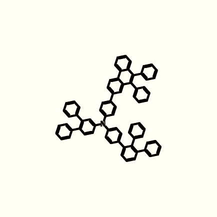 c1ccc(-c2ccc(N(c3ccc(-c4ccc5c(c4)c(-c4ccccc4)c(-c4ccccc4)c4ccccc45)cc3)c3ccc(-c4cccc(-c5ccccc5)c4-c4ccccc4)cc3)cc2-c2ccccc2)cc1